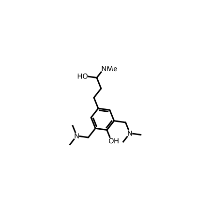 CNC(O)CCc1cc(CN(C)C)c(O)c(CN(C)C)c1